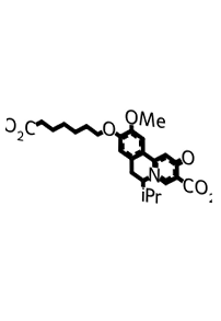 COc1cc2c(cc1OCCCCCCC(=O)O)CC(C(C)C)n1cc(C(=O)O)c(=O)cc1-2